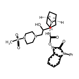 CC(C)n1c(=O)n(OC(=O)N[C@@H]2C[C@H]3CC[C@@H](C2)N3CC(O)CN2CCN(S(C)(=O)=O)CC2)c2ccccc21